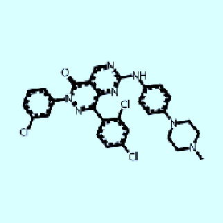 CN1CCN(c2ccc(Nc3ncc4c(=O)n(-c5cccc(Cl)c5)nc(-c5ccc(Cl)cc5Cl)c4n3)cc2)CC1